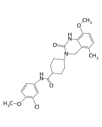 COc1ccc(NC(=O)C2CCC(N3Cc4c(C)ccc(OC)c4NC3=O)CC2)cc1Cl